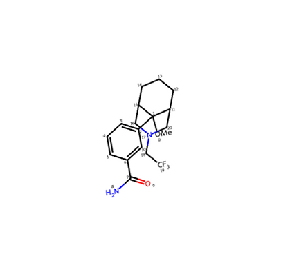 COC1(c2cccc(C(N)=O)c2)C2CCCC1CN(CC(F)(F)F)C2